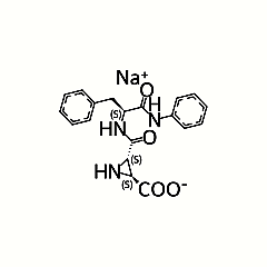 O=C(Nc1ccccc1)[C@H](Cc1ccccc1)NC(=O)[C@H]1N[C@@H]1C(=O)[O-].[Na+]